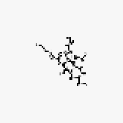 CCCCOC(=O)CC(C(=O)OCCCC)N(CCCOC)[SiH](OCC)OCC